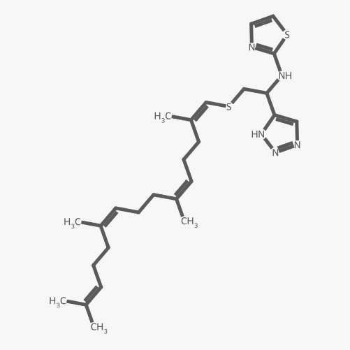 CC(C)=CCCC(C)=CCCC(C)=CCCC(C)=CSCC(Nc1nccs1)c1cnn[nH]1